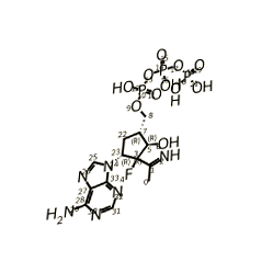 CC(=N)[C@@]1(F)[C@H](O)[C@@H](COP(=O)(O)OP(=O)(O)OP(=O)(O)O)C[C@H]1n1cnc2c(N)ncnc21